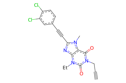 C#CCn1c(=O)c2c(nc(C#Cc3ccc(Cl)c(Cl)c3)n2C)n(CC)c1=O